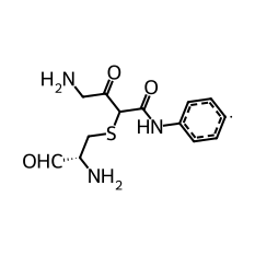 NCC(=O)C(SC[C@H](N)C=O)C(=O)Nc1cc[c]cc1